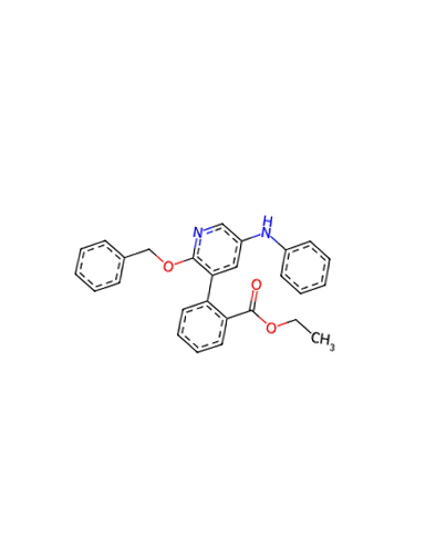 CCOC(=O)c1ccccc1-c1cc(Nc2ccccc2)cnc1OCc1ccccc1